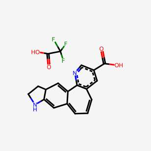 O=C(O)C(F)(F)F.O=C(O)c1cnc2c(c1)C=CC=C1C=C3NCCC3C=C12